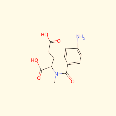 CN(C(=O)c1ccc(N)cc1)C(CCC(=O)O)C(=O)O